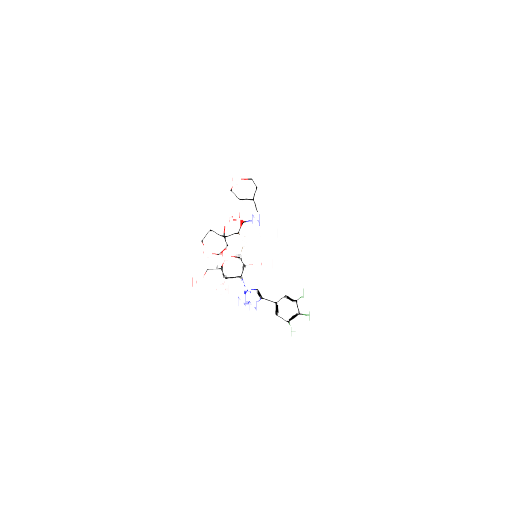 CN(CC1CCOCC1)C(=O)C(S[C@@H]1O[C@H](CO)[C@H](O)[C@H](n2cc(-c3cc(F)c(F)c(F)c3)nn2)[C@H]1O)C1(O)CCOCC1